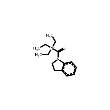 CC[N+](CC)(CC)C(=S)N1CCc2ccccc21